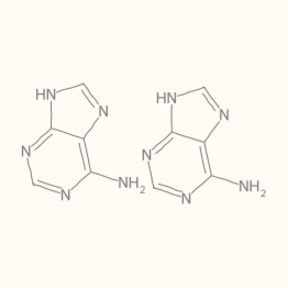 Nc1ncnc2[nH]cnc12.Nc1ncnc2[nH]cnc12